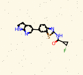 O=C(Nc1nc2ccc(-c3cnc4[nH]ccc4c3)cc2s1)C1C[C@@H]1F